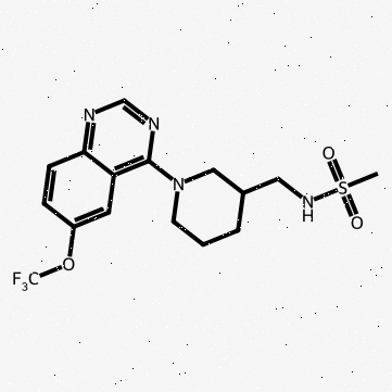 CS(=O)(=O)NCC1CCCN(c2ncnc3ccc(OC(F)(F)F)cc23)C1